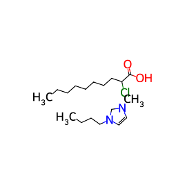 CCCCCCCCC(Cl)C(=O)O.CCCCN1C=CN(C)C1